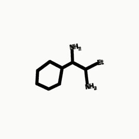 CCC(N)C(N)[C]1CCCCC1